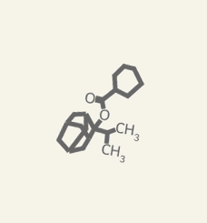 CC(C)C1(OC(=O)C2CCCCC2)C2CC3CC(C2)CC1C3